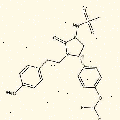 COc1ccc(CCN2C(=O)N(NS(C)(=O)=O)C[C@@H]2c2ccc(OC(F)F)cc2)cc1